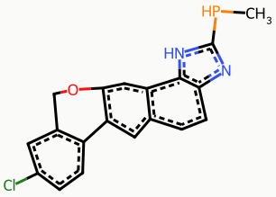 CPc1nc2ccc3cc4c(cc3c2[nH]1)OCc1cc(Cl)ccc1-4